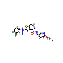 COc1ccc(CNC(=O)c2nccc3sc(NCc4cccc(F)c4)cc23)cn1